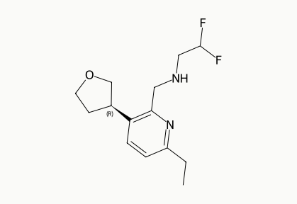 CCc1ccc([C@H]2CCOC2)c(CNCC(F)F)n1